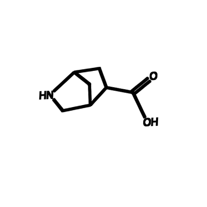 O=C(O)C1CC2CC1CN2